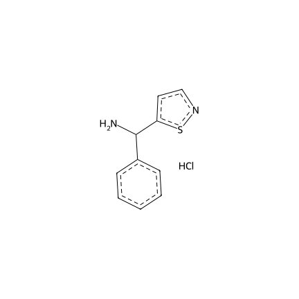 Cl.NC(c1ccccc1)c1ccns1